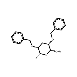 CO[C@H]1O[C@H](C)[C@@H](OCc2ccccc2)C[C@H]1OCc1ccccc1